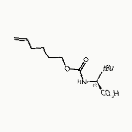 C=CCCCCOC(=O)N[C@H](C(=O)O)C(C)(C)C